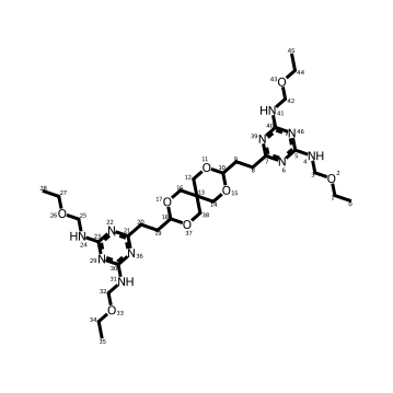 CCOCNc1nc(CCC2OCC3(CO2)COC(CCc2nc(NCOCC)nc(NCOCC)n2)OC3)nc(NCOCC)n1